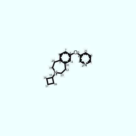 c1cncc(Oc2ccc3c(c2)CCN(C2CCC2)CC3)c1